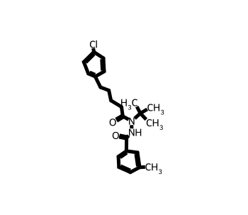 Cc1cccc(C(=O)NN(C(=O)CCCCc2ccc(Cl)cc2)C(C)(C)C)c1